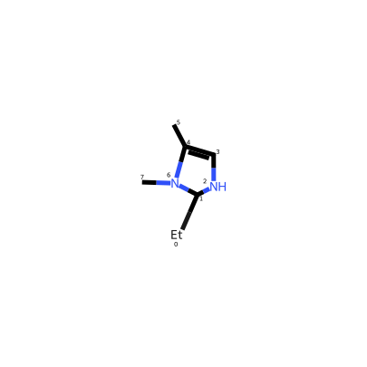 CCC1NC=C(C)N1C